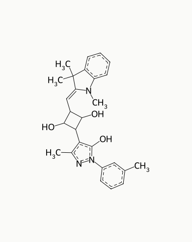 Cc1cccc(-n2nc(C)c(C3C(O)C(C=C4N(C)c5ccccc5C4(C)C)C3O)c2O)c1